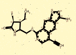 C#Cc1cnc(OCC2NC(=O)[C@@H](F)[C@H]2CC)c2cc3onc(N)c3cc12